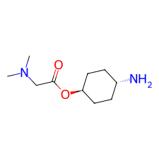 CN(C)CC(=O)O[C@H]1CC[C@H](N)CC1